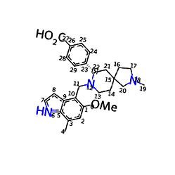 COc1cc(C)c2[nH]ccc2c1CN1CCC2(CCN(C)C2)C[C@H]1c1ccc(C(=O)O)cc1